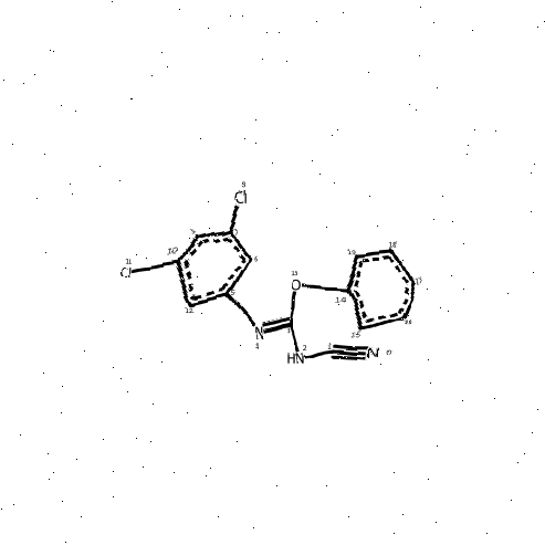 N#CN/C(=N/c1cc(Cl)cc(Cl)c1)Oc1ccccc1